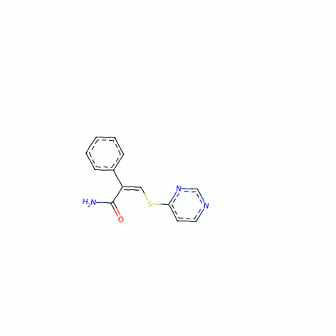 NC(=O)C(=CSc1ccncn1)c1ccccc1